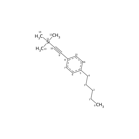 CCCCCc1ccc(C#C[Si](C)(C)C)cc1